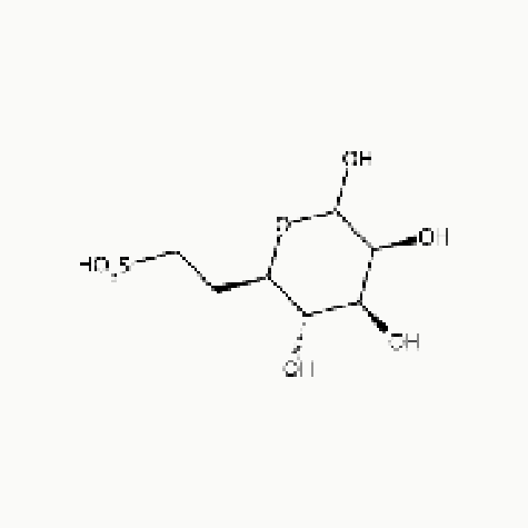 O=S(=O)(O)CC[C@H]1OC(O)[C@@H](O)[C@@H](O)[C@@H]1O